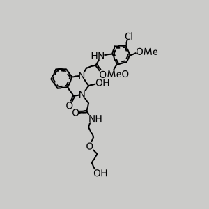 COc1cc(OC)c(NC(=O)CN2c3ccccc3C(=O)N(CC(=O)NCCOCCO)C2O)cc1Cl